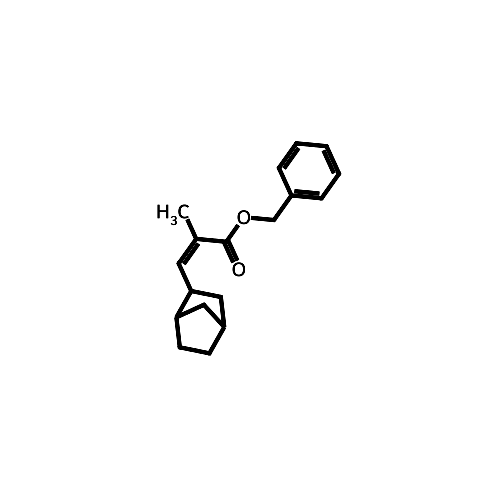 CC(=CC1CC2CCC1C2)C(=O)OCc1ccccc1